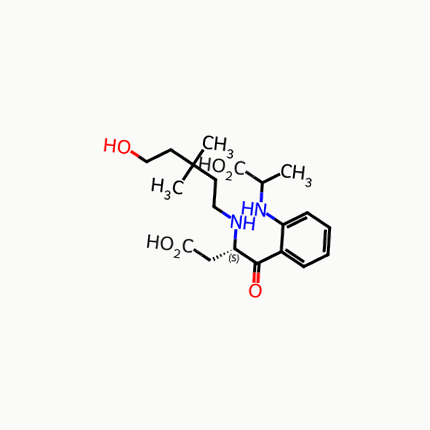 CC(Nc1ccccc1C(=O)[C@H](CC(=O)O)NCCC(C)(C)CCO)C(=O)O